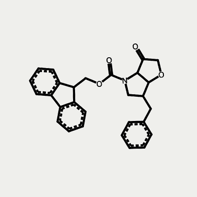 O=C1COC2C(Cc3ccccc3)CN(C(=O)OCC3c4ccccc4-c4ccccc43)C12